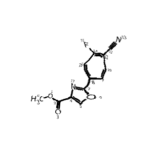 COC(=O)c1coc(-c2ccc(C#N)c(F)c2)n1